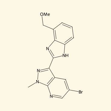 COCc1cccc2[nH]c(-c3nn(C)c4ncc(Br)cc34)nc12